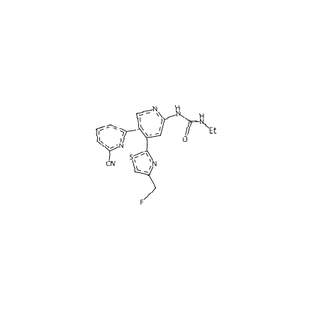 CCNC(=O)Nc1cc(-c2nc(CF)cs2)c(-c2cccc(C#N)n2)cn1